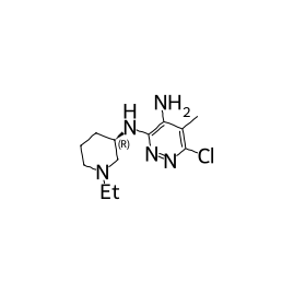 CCN1CCC[C@@H](Nc2nnc(Cl)c(C)c2N)C1